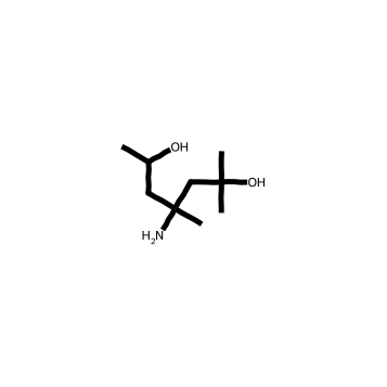 CC(O)CC(C)(N)CC(C)(C)O